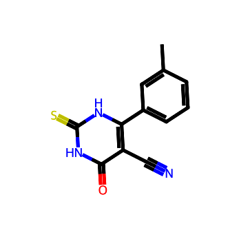 Cc1cccc(-c2[nH]c(=S)[nH]c(=O)c2C#N)c1